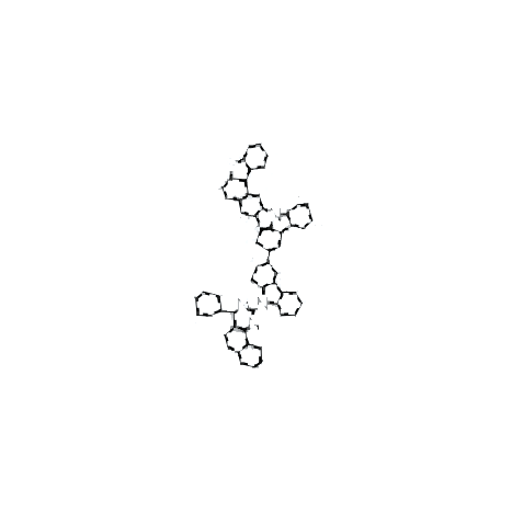 c1ccc(-c2nc(-n3c4ccccc4c4cc(-c5cc6c7ccccc7n7c8cc9c(ccc%10sc%11ccccc%11c%109)cc8c(c5)c67)ccc43)nc3c2ccc2ccccc23)cc1